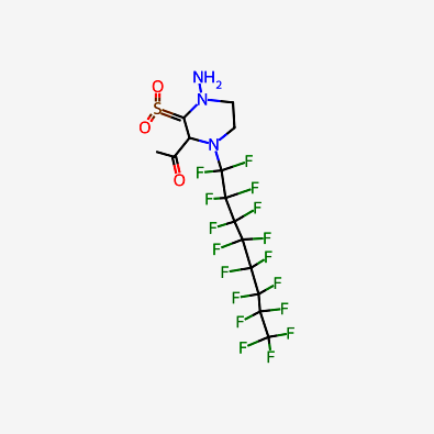 CC(=O)C1C(=S(=O)=O)N(N)CCN1C(F)(F)C(F)(F)C(F)(F)C(F)(F)C(F)(F)C(F)(F)C(F)(F)C(F)(F)F